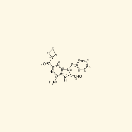 Nc1nc(C(=O)N2CCC2)nc2c1NC(C=O)N2Cc1ccccc1